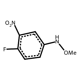 CONc1ccc(F)c([N+](=O)[O-])c1